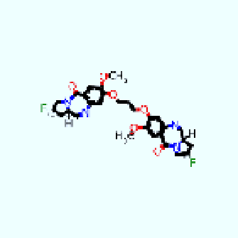 COc1cc2c(cc1OCCCOc1cc3c(cc1OC)C(=O)N1C[C@@H](F)C[C@H]1C=N3)N=C[C@@H]1C[C@H](F)CN1C2=O